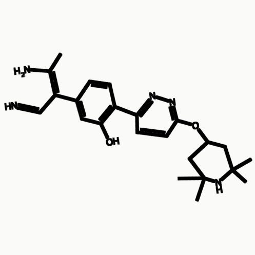 C/C(N)=C(/C=N)c1ccc(-c2ccc(OC3CC(C)(C)NC(C)(C)C3)nn2)c(O)c1